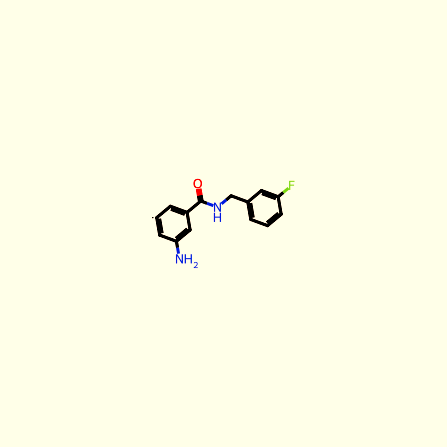 Nc1c[c]cc(C(=O)NCc2cccc(F)c2)c1